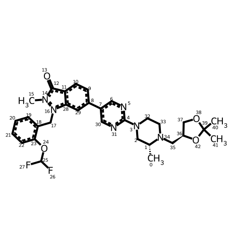 C[C@@H]1CN(c2ncc(-c3ccc4c(=O)n(C)n(Cc5ccccc5OC(F)F)c4c3)cn2)CCN1C[C@H]1COC(C)(C)O1